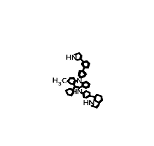 CC1C=CC2=C(C1)C(C1=CCCC=C1)=C(NC1=CC=C(C3=C4NCC=CC4=CCC3)CC1)c1ccccc1N2c1ccc(-c2cccc(C3=CCCNC3)c2)cc1